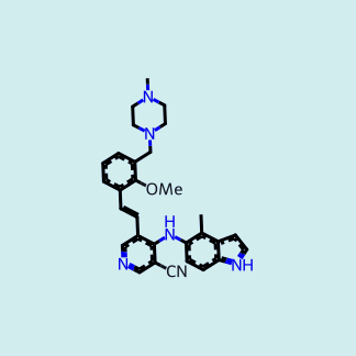 COc1c(C=Cc2cncc(C#N)c2Nc2ccc3[nH]ccc3c2C)cccc1CN1CCN(C)CC1